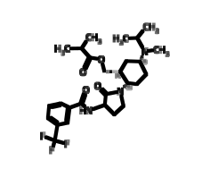 CC(C)C(=O)OC[C@@H]1C[C@H](N(C)C(C)C)CC[C@@H]1N1CCC(NC(=O)c2cccc(C(F)(F)F)c2)C1=O